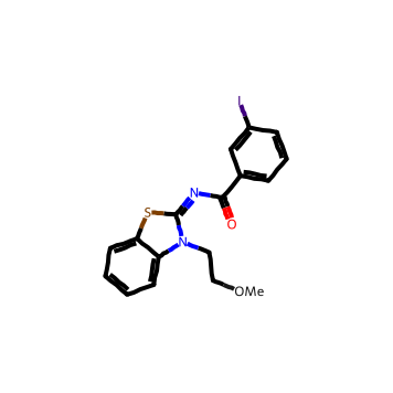 COCCn1c(=NC(=O)c2cccc(I)c2)sc2ccccc21